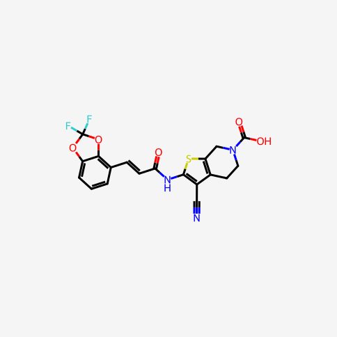 N#Cc1c(NC(=O)C=Cc2cccc3c2OC(F)(F)O3)sc2c1CCN(C(=O)O)C2